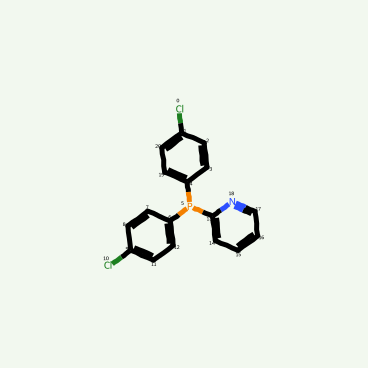 Clc1ccc(P(c2ccc(Cl)cc2)c2ccccn2)cc1